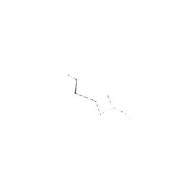 CCN1CC(CCO)C1